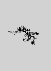 COc1c(CN(C)CCN(C)C)cc(C(C)(C)C)cc1NC(=O)c1ccc(C)c(-n2cc(C(=O)O)nn2)c1